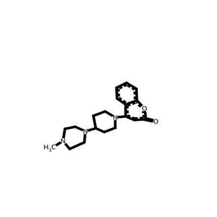 CN1CCN(C2CCN(c3cc(=O)oc4ccccc34)CC2)CC1